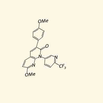 COc1ccc(-c2cc3ccc(OC)nc3n(-c3ccc(C(F)(F)F)nc3)c2=O)cc1